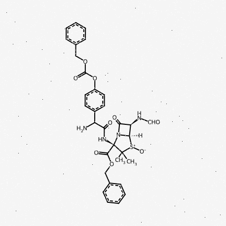 CC1(C)[S+]([O-])[C@@H]2[C@H](NC=O)C(=O)N2[C@@]1(NC(=O)C(N)c1ccc(OC(=O)OCc2ccccc2)cc1)C(=O)OCc1ccccc1